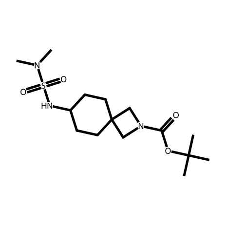 CN(C)S(=O)(=O)NC1CCC2(CC1)CN(C(=O)OC(C)(C)C)C2